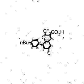 CCCCc1ccc(-c2cc(Cl)cc3c2OC(C(F)(F)F)C(C(=O)O)=C3)cc1